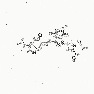 C=CC(=O)N1C[C@@H](n2nc(C#CC3=CC4N=CN(C5CC5)C4C=C3Cl)c(C(N)=O)c2NCC)C[C@@H]1COC